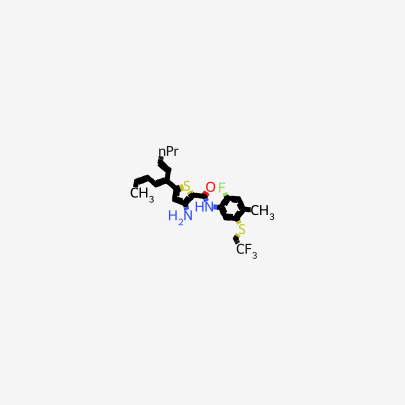 C\C=C/C=C(\C=C\CCC)c1cc(N)c(C(=O)Nc2cc(SCC(F)(F)F)c(C)cc2F)s1